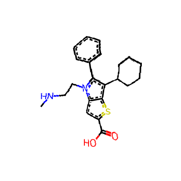 CNCCn1c(-c2ccccc2)c(C2CCCCC2)c2sc(C(=O)O)cc21